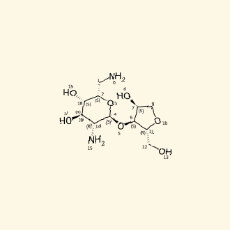 NC[C@@H]1O[C@@H](O[C@H]2[C@@H](O)[CH]O[C@@H]2CO)[C@H](N)[C@@H](O)[C@@H]1O